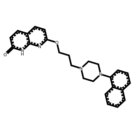 O=c1ccc2ccc(OCCCN3CCN(c4cccc5ccccc45)CC3)nc2[nH]1